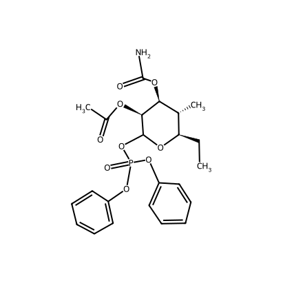 CC[C@H]1OC(OP(=O)(Oc2ccccc2)Oc2ccccc2)[C@@H](OC(C)=O)[C@@H](OC(N)=O)[C@@H]1C